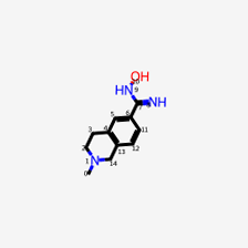 CN1CCc2cc(C(=N)NO)ccc2C1